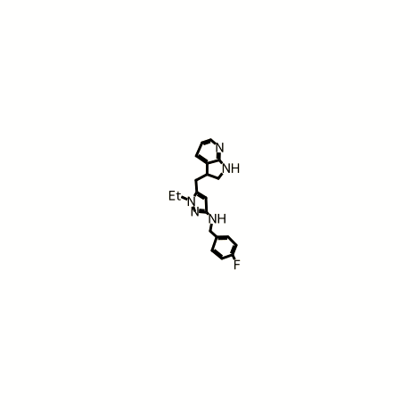 CCn1nc(NCc2ccc(F)cc2)cc1CC1CNc2ncccc21